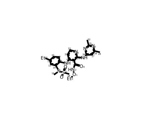 CCONC(=O)c1c(Nc2ccc(CC)cc2N(C)S(C)(=O)=O)ccnc1Nc1cc(C)nc(C)n1